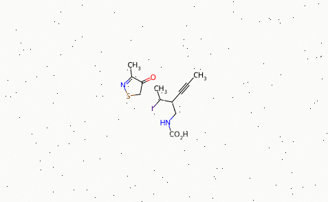 CC#CC(CNC(=O)O)C(C)I.CC1=NSCC1=O